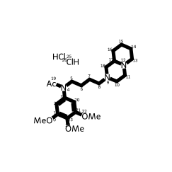 COc1cc(N(CCCCN2CCN3CCCCC3C2)C(C)=O)cc(OC)c1OC.Cl.Cl